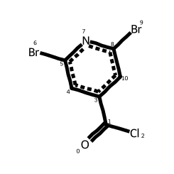 O=C(Cl)c1cc(Br)nc(Br)c1